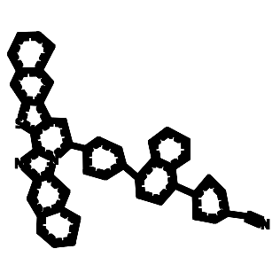 N#Cc1ccc(-c2ccc(-c3ccc(-c4cc5c6cc7ccccc7cc6sc5c5nc6cc7ccccc7cc6n45)cc3)c3ccccc23)cc1